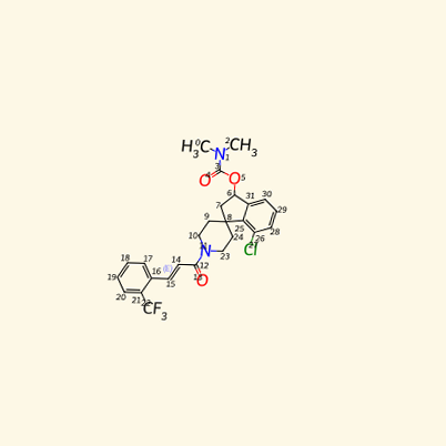 CN(C)C(=O)OC1CC2(CCN(C(=O)/C=C/c3ccccc3C(F)(F)F)CC2)c2c(Cl)cccc21